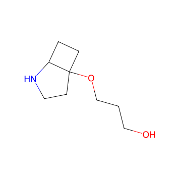 OCCCOC12CCNC1CC2